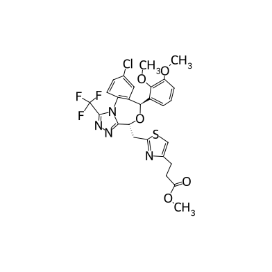 COC(=O)CCc1csc(C[C@H]2O[C@H](c3cccc(OC)c3OC)c3cc(Cl)ccc3-n3c2nnc3C(F)(F)F)n1